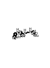 CCCNc1nc(Nc2ccc3cnncc3c2)ncc1C(=O)NCCCNC(=O)CN(C)C(=O)OC(C)(C)C